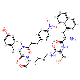 CN(C(=O)CCc1ccc([N+](=O)[O-])cc1)[C@@H](Cc1ccc(O)cc1)C(=O)N[C@@H]([C]=O)CCCCNC(=O)[C@H](CO)NC(=O)[C@@H](N)Cc1cccc2ccccc12